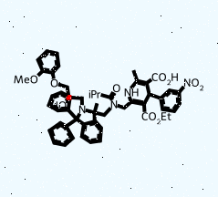 CCOC(=O)C1=C(CN(CC(C)(C)N(CC(O)COc2ccccc2OC)C(c2ccccc2)(c2ccccc2)c2ccccc2)C(=O)C(C)C)NC(C)=C(C(=O)O)C1c1cccc([N+](=O)[O-])c1